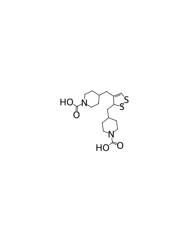 O=C(O)N1CCC(CC2=CSSC2CC2CCN(C(=O)O)CC2)CC1